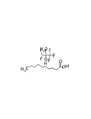 CCCCCCCCCC(=O)O.O.OC(F)(C(F)F)C(F)(F)F